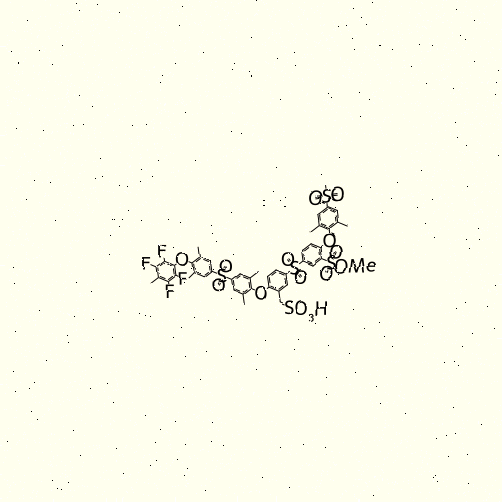 COS(=O)(=O)c1cc(S(=O)(=O)c2ccc(Oc3c(C)cc(S(=O)(=O)c4cc(C)c(Oc5c(F)c(F)c(C)c(F)c5F)c(C)c4)cc3C)c(CS(=O)(=O)O)c2)ccc1Oc1c(C)cc(S(C)(=O)=O)cc1C